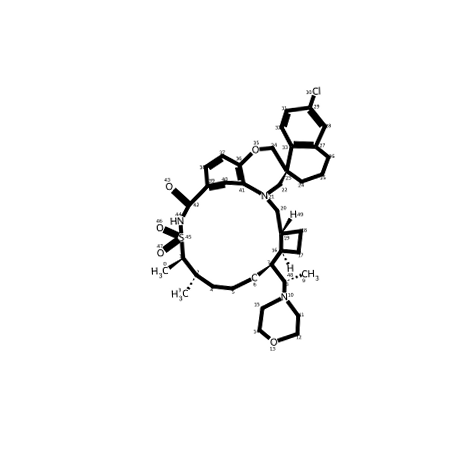 C[C@@H]1[C@@H](C)CCC[C@H]([C@H](C)N2CCOCC2)[C@@H]2CC[C@H]2CN2C[C@@]3(CCCc4cc(Cl)ccc43)COc3ccc(cc32)C(=O)NS1(=O)=O